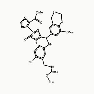 COC(=O)c1sccc1-n1nc(C(Nc2ccc(C#N)c(CNC(=O)OC(C)(C)C)c2)c2cc3c(c(OC)c2)OCOC3)[nH]c1=O